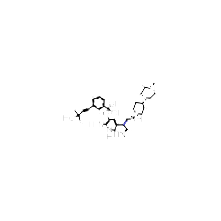 CN1CCN(C2CCN(N/C=C(\C=N)C3=CC(OC(O)(O)c4cccc(C#CC(C)(C)O)c4)=C(N)NC3)CC2)CC1